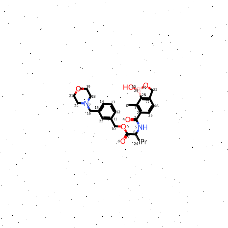 Cc1c(C(=O)NC(C(=O)OCc2cccc(CN3CCOCC3)c2)C(C)C)ccc2c1B(O)OC2